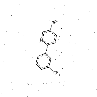 CCCc1ccc(-c2cccc(C(F)(F)F)c2)nc1